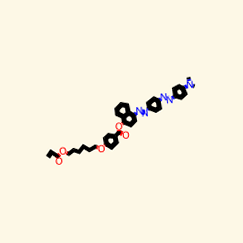 C=CC(=O)OCCCCCCOc1ccc(C(=O)Oc2ccc(/N=N/c3ccc(/N=N/c4ccc(N(C)C)cc4)cc3)c3ccccc23)cc1